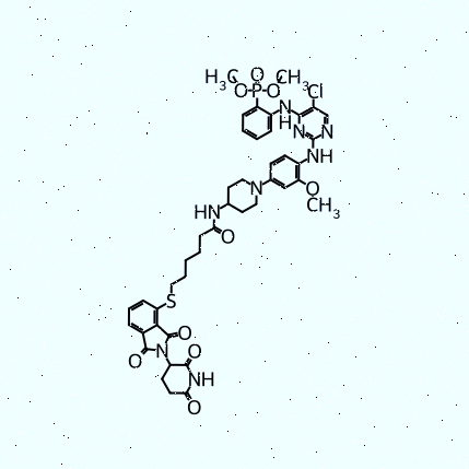 COc1cc(N2CCC(NC(=O)CCCCCSc3cccc4c3C(=O)N(C3CCC(=O)NC3=O)C4=O)CC2)ccc1Nc1ncc(Cl)c(Nc2ccccc2P(=O)(OC)OC)n1